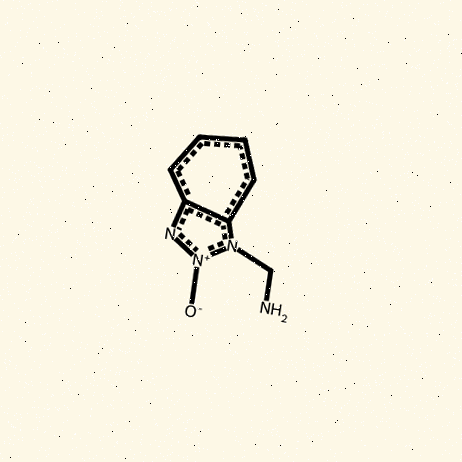 NCn1c2ccccc2n[n+]1[O-]